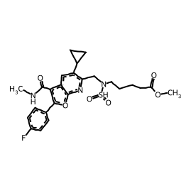 CNC(=O)c1c(-c2ccc(F)cc2)oc2nc(CN(CCCCC(=O)OC)[SH](=O)=O)c(C3CC3)cc12